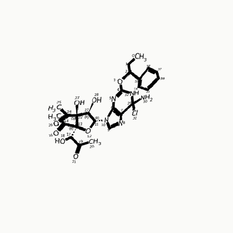 CCC(OC1=Nc2c(ncn2[C@@H]2O[C@](C(C)=O)(C(O)C(C)=O)[C@](O)(C(C)=O)[C@H]2O)C(N)(Cl)N1)c1ccccc1